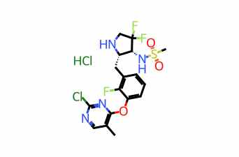 Cc1cnc(Cl)nc1Oc1cccc(C[C@@H]2NCC(F)(F)[C@@H]2NS(C)(=O)=O)c1F.Cl